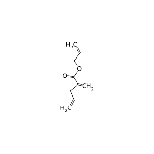 C=CCOC(=O)C(=C)CC=C